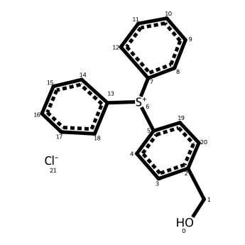 OCc1ccc([S+](c2ccccc2)c2ccccc2)cc1.[Cl-]